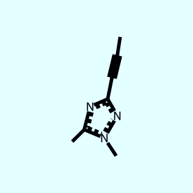 CC#Cc1nc(C)n(C)n1